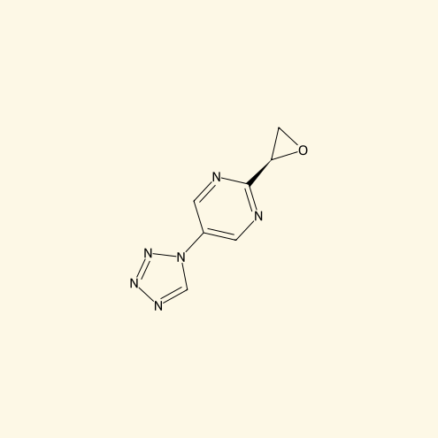 c1nc([C@H]2CO2)ncc1-n1cnnn1